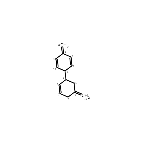 C=C1C=CC(C2C=CCC(=C)C2)C=C1